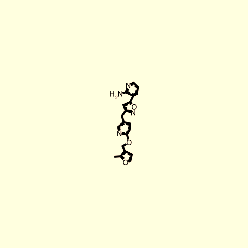 Cc1occc1COc1ccc(Cc2cc(-c3cccnc3N)on2)cn1